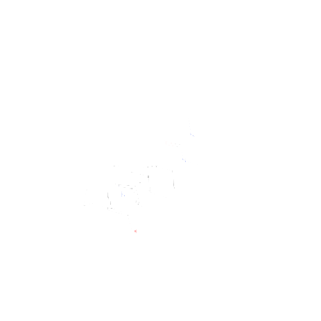 CCc1ccc(O)cc1C12CCN(CC3CC3)CC13CCC(N(C)C(=O)N(C)C)C2CC3